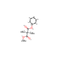 CCCCOC(=O)C(CCCC)(CCCC)C(=O)Oc1ccccc1